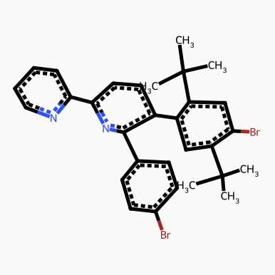 CC(C)(C)c1cc(-c2ccc(-c3ccccn3)nc2-c2ccc(Br)cc2)c(C(C)(C)C)cc1Br